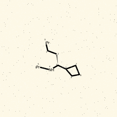 CC(C)CC[C@@H](NC(C)C)C1CCC1